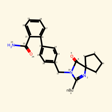 CCCCC1=NC2(CCCC2)C(=O)N1Cc1ccc(-c2ccccc2C(N)=O)cc1